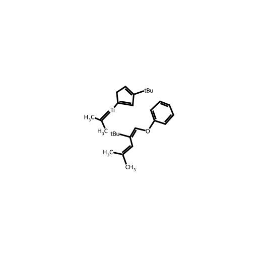 CC(C)=CC(=COc1ccccc1)C(C)(C)C.C[C](C)=[Ti][C]1=CC(C(C)(C)C)=CC1